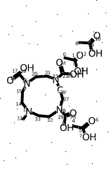 CC(=O)O.CC(=O)O.CC(=O)O.CN1CCN(C(=O)O)CCN(C(=O)O)CCN(C(=O)O)CC1